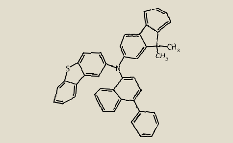 CC1(C)c2ccccc2-c2ccc(N(c3ccc4sc5ccccc5c4c3)c3ccc(-c4ccccc4)c4ccccc34)cc21